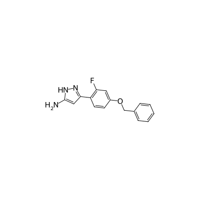 Nc1cc(-c2ccc(OCc3ccccc3)cc2F)n[nH]1